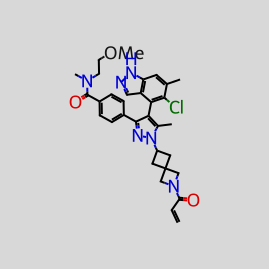 C=CC(=O)N1CC2(CC(n3nc(-c4ccc(C(=O)N(C)CCOC)cc4)c(-c4c(Cl)c(C)cc5[nH]ncc45)c3C)C2)C1